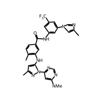 CNc1cc(-n2nc(C)cc2Nc2cc(C(=O)Nc3cc(-n4cnc(C)c4)cc(C(F)(F)F)c3)ccc2C)ncn1